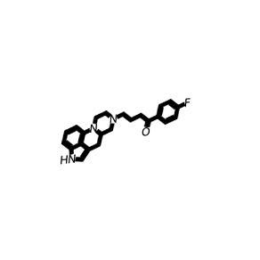 O=C(CCCN1CCN2c3cccc4[nH]cc(c34)CC2C1)c1ccc(F)cc1